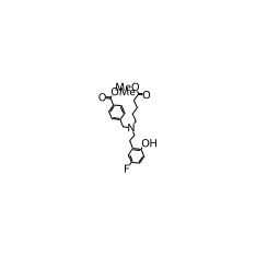 COC(=O)CCCCN(CCc1cc(F)ccc1O)Cc1ccc(C(=O)OC)cc1